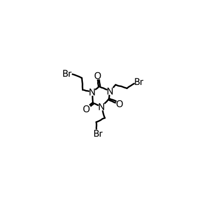 O=c1n(CCBr)c(=O)n(CCBr)c(=O)n1CCBr